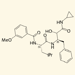 COc1cccc(C(=O)N[C@@H](CC(C)C)C(=O)N[C@H](Cc2ccccc2)C(O)C(=O)NC2CC2)c1